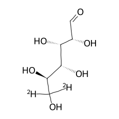 [2H]C([2H])(O)[C@@H](O)[C@@H](O)[C@H](O)[C@@H](O)C=O